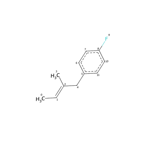 C/C=C(\C)Cc1ccc(F)cc1